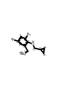 CC(C)(C)Cc1cc(F)cc(F)c1OCC1CC1